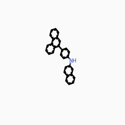 c1ccc2cc(Nc3ccc(-c4cc5ccccc5c5ccccc45)cc3)ccc2c1